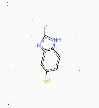 [CH2]c1nc2cc(S)ccc2[nH]1